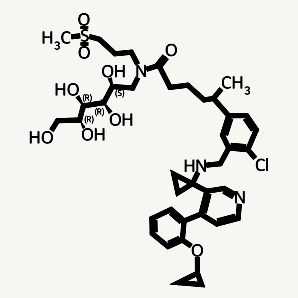 CC(CCCC(=O)N(CCCS(C)(=O)=O)C[C@H](O)[C@@H](O)[C@H](O)[C@H](O)CO)c1ccc(Cl)c(CNC2(c3cnccc3-c3ccccc3OC3CC3)CC2)c1